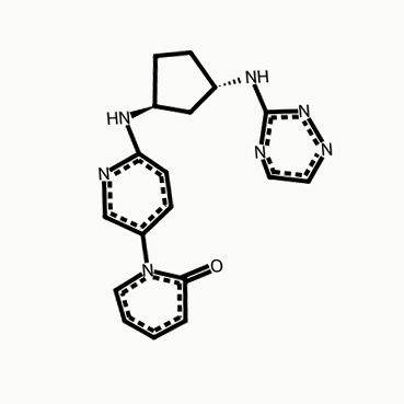 O=c1ccccn1-c1ccc(N[C@H]2CC[C@H](Nc3nccnn3)C2)nc1